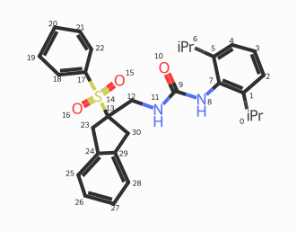 CC(C)c1cccc(C(C)C)c1NC(=O)NCC1(S(=O)(=O)c2ccccc2)Cc2ccccc2C1